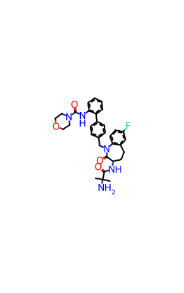 CC(C)(N)C(=O)N[C@@H]1CCc2cc(F)ccc2N(Cc2ccc(-c3ccccc3NC(=O)N3CCOCC3)cc2)C1=O